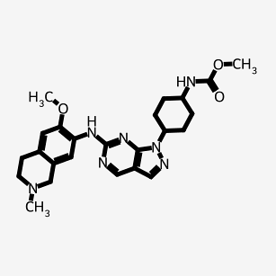 COC(=O)NC1CCC(n2ncc3cnc(Nc4cc5c(cc4OC)CCN(C)C5)nc32)CC1